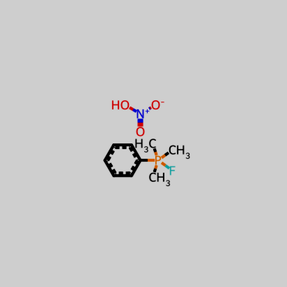 CP(C)(C)(F)c1ccccc1.O=[N+]([O-])O